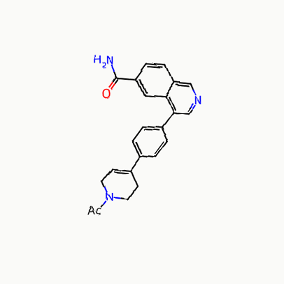 CC(=O)N1CC=C(c2ccc(-c3cncc4ccc(C(N)=O)cc34)cc2)CC1